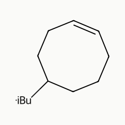 CC[C](C)C1CC/C=C\CCC1